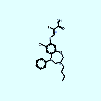 CCCC[C@@H]1CSc2cc(O/C=C(\F)C(=O)O)c(Cl)cc2N(c2ccccc2)C1